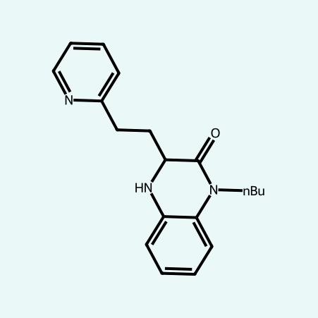 CCCCN1C(=O)C(CCc2ccccn2)Nc2ccccc21